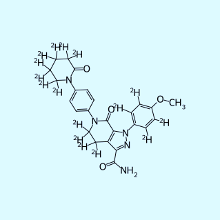 [2H]c1c([2H])c(-n2nc(C(N)=O)c3c2C(=O)N(c2ccc(N4C(=O)C([2H])([2H])C([2H])([2H])C([2H])([2H])C4([2H])[2H])cc2)C([2H])([2H])C3([2H])[2H])c([2H])c([2H])c1OC